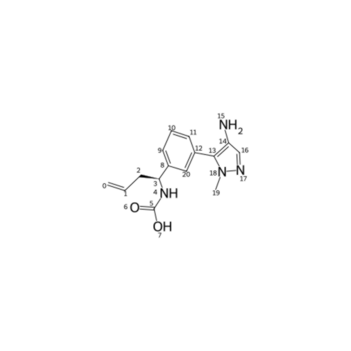 C=CC[C@H](NC(=O)O)c1cccc(-c2c(N)cnn2C)c1